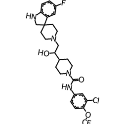 O=C(Nc1ccc(OC(F)(F)F)c(Cl)c1)N1CCC(C(O)CN2CCC3(CC2)CNc2ccc(F)cc23)CC1